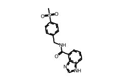 CS(=O)(=O)c1ccc(CNC(=O)c2cccc3[nH][c]nc23)cc1